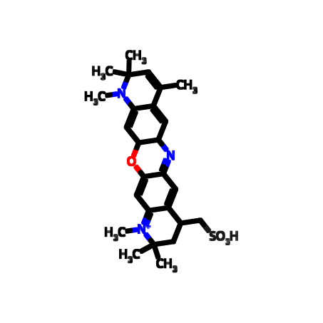 CC1=CC(C)(C)N(C)C2=CC3Oc4cc5c(cc4=NC3C=C12)C(CS(=O)(=O)O)CC(C)(C)[N+]=5C